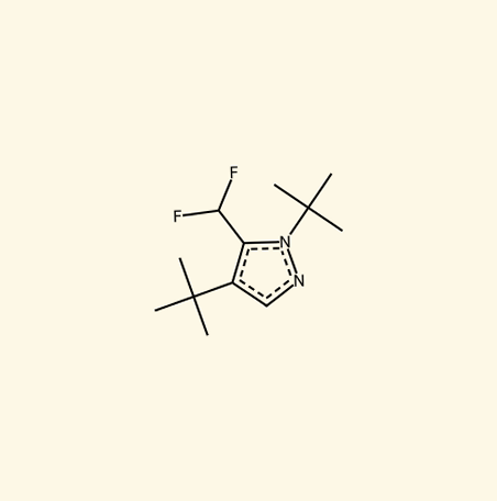 CC(C)(C)c1cnn(C(C)(C)C)c1C(F)F